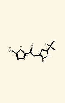 CC(C)(C)c1cc(CC(=O)c2ccc(Br)s2)no1